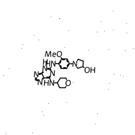 COc1cc(N2CCC(O)C2)ccc1Nc1nc(NC2CCOCC2)c2ncnc-2[nH]1